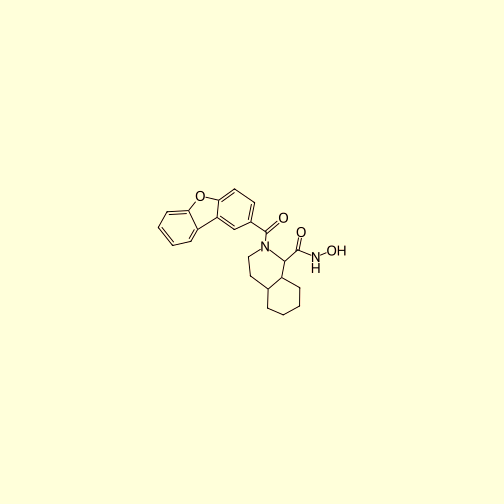 O=C(NO)C1C2CCCCC2CCN1C(=O)c1ccc2oc3ccccc3c2c1